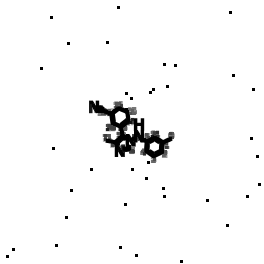 Cc1cccc(Nn2cnc(C)c2C2=CCCC(C#N)=C2)c1